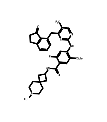 COc1cc(C(=O)NC2CC3(CCN(C)CC3)C2)c(F)cc1Nc1ncc(C(F)(F)F)c(Cc2cccc3c2C(=O)CC3)n1